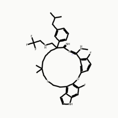 CN/C1=N\C(=N)C(CNCC(F)(F)F)(c2cccc(CC(C)C)c2)CCCC(C)(C)CSCCc2c(c(F)cc3[nH]ccc23)Oc2ccc(F)c1c2